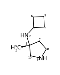 C[C@@]1(NC2CCC2)CCNC1